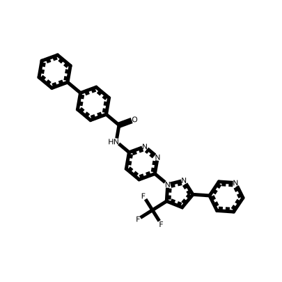 O=C(Nc1ccc(-n2nc(-c3cccnc3)cc2C(F)(F)F)nn1)c1ccc(-c2ccccc2)cc1